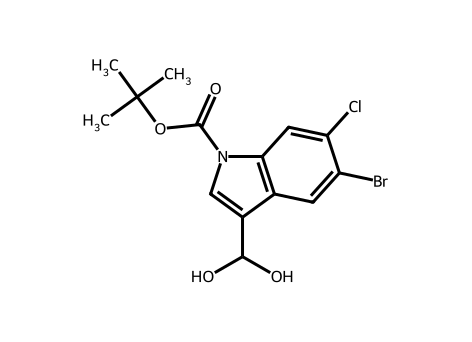 CC(C)(C)OC(=O)n1cc(C(O)O)c2cc(Br)c(Cl)cc21